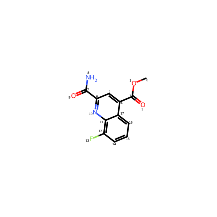 COC(=O)c1cc(C(N)=O)nc2c(F)cccc12